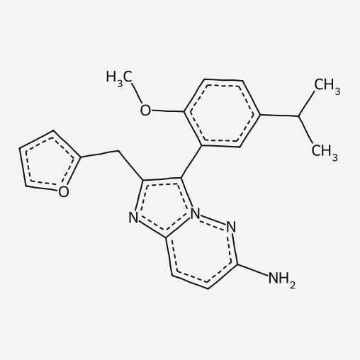 COc1ccc(C(C)C)cc1-c1c(Cc2ccco2)nc2ccc(N)nn12